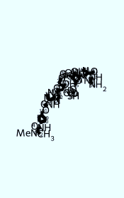 CN[C@@H](C)C(=O)Nc1ccc(COC(=O)Nc2ncnc3c2ncn3C2OC3COP(=O)(O)OC4C(COP(=O)(S)OC2C3O)OC(n2cnc3c(=O)[nH]c(N)nc32)C4O)cc1